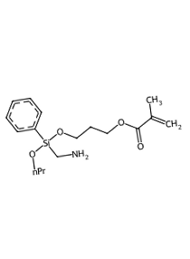 C=C(C)C(=O)OCCCO[Si](CN)(OCCC)c1ccccc1